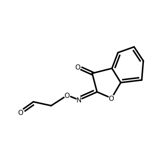 O=CCON=C1Oc2ccccc2C1=O